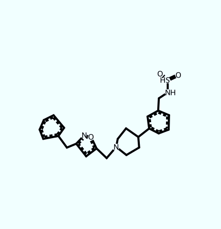 O=[SH](=O)NCc1cccc(C2CCN(Cc3cc(Cc4ccccc4)no3)CC2)c1